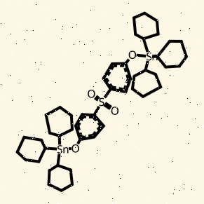 O=S(=O)(c1ccc([O][Sn]([CH]2CCCCC2)([CH]2CCCCC2)[CH]2CCCCC2)cc1)c1ccc([O][Sn]([CH]2CCCCC2)([CH]2CCCCC2)[CH]2CCCCC2)cc1